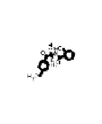 CCc1ccc(C(=O)C(C)(C)NC(=O)c2ccccc2Cl)cc1